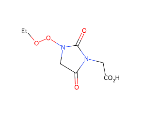 CCOON1CC(=O)N(CC(=O)O)C1=O